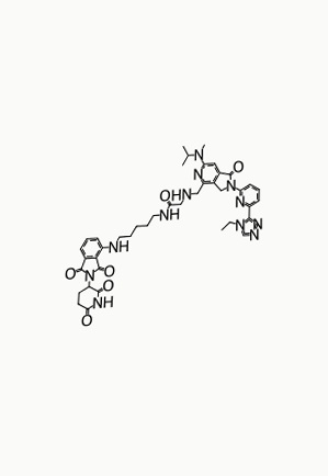 CCn1cnnc1-c1cccc(N2Cc3c(cc(N(C)C(C)C)nc3CNCC(=O)NCCCCCNc3cccc4c3C(=O)N(C3CCC(=O)NC3=O)C4=O)C2=O)n1